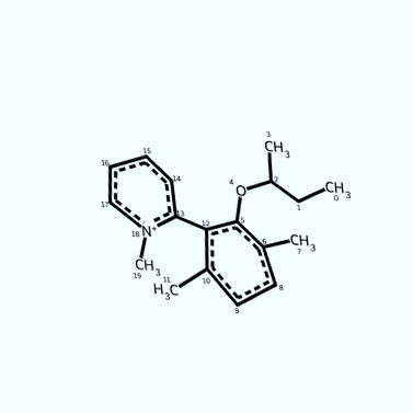 CCC(C)Oc1c(C)ccc(C)c1-c1cccc[n+]1C